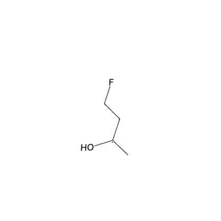 C[C](O)CCF